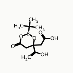 C=C(O)C1(CC(=O)O)CC(=O)OB(C(C)(C)C)O1